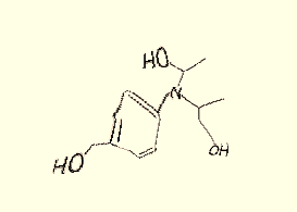 CC(O)N(c1ccc(O)cc1)C(C)O